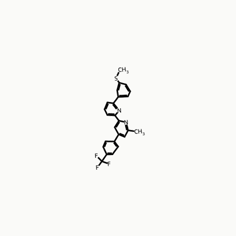 CSc1cccc(-c2cccc(-c3cc(-c4ccc(C(F)(F)F)cc4)cc(C)n3)n2)c1